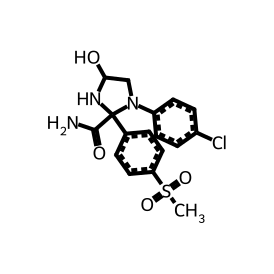 CS(=O)(=O)c1ccc(C2(C(N)=O)NC(O)CN2c2ccc(Cl)cc2)cc1